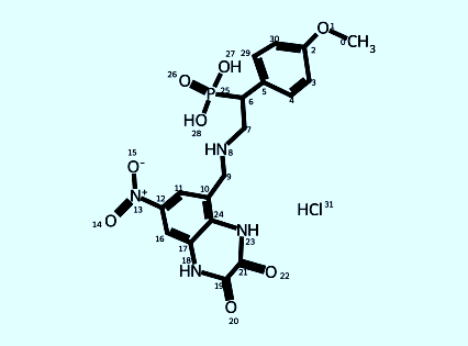 COc1ccc(C(CNCc2cc([N+](=O)[O-])cc3[nH]c(=O)c(=O)[nH]c23)P(=O)(O)O)cc1.Cl